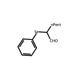 CCCCCC(C=O)[Se]c1ccccc1